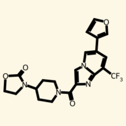 O=C(c1cn2cc(-c3ccoc3)cc(C(F)(F)F)c2n1)N1CCC(N2CCOC2=O)CC1